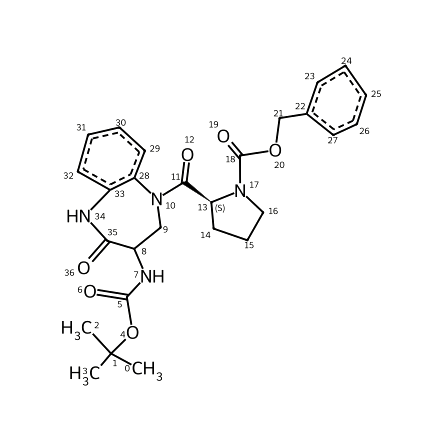 CC(C)(C)OC(=O)NC1CN(C(=O)[C@@H]2CCCN2C(=O)OCc2ccccc2)c2ccccc2NC1=O